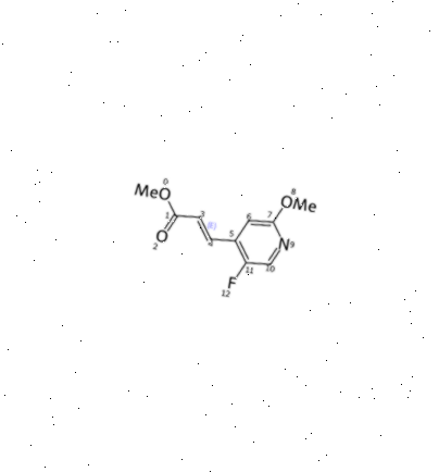 COC(=O)/C=C/c1cc(OC)ncc1F